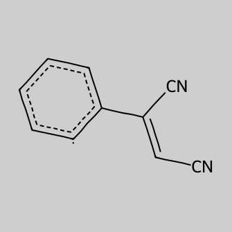 N#C/C=C(\C#N)c1[c]cccc1